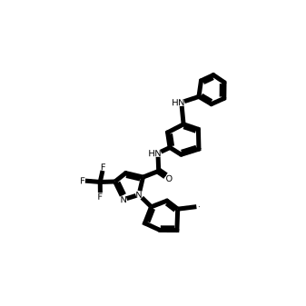 [CH2]c1cccc(-n2nc(C(F)(F)F)cc2C(=O)Nc2cccc(Nc3ccccc3)c2)c1